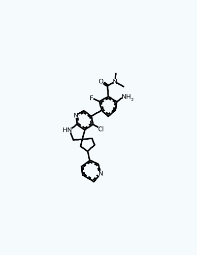 CN(C)C(=O)c1c(N)ccc(-c2cnc3c(c2Cl)C2(CCC(c4cccnc4)C2)CN3)c1F